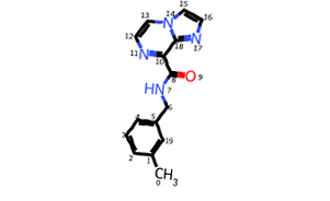 Cc1cccc(CNC(=O)c2nccn3ccnc23)c1